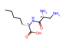 CCCCC[C@H](NC(=O)[C@H](N)CN)C(=O)O